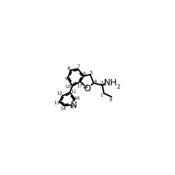 CCC(N)C1Cc2cccc(-c3cccnc3)c2O1